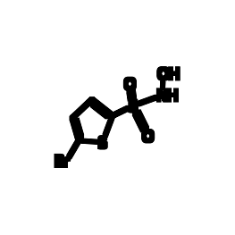 O=S(=O)(NO)c1ccc(Br)s1